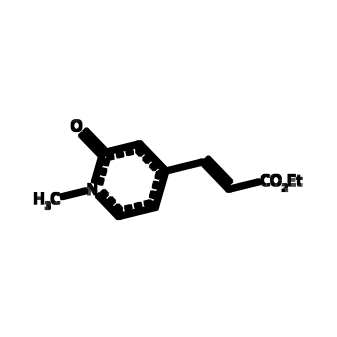 CCOC(=O)C=Cc1ccn(C)c(=O)c1